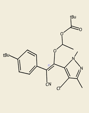 Cc1nn(C)c(/C(OC(C)OC(=O)C(C)(C)C)=C(\C#N)c2ccc(C(C)(C)C)cc2)c1Cl